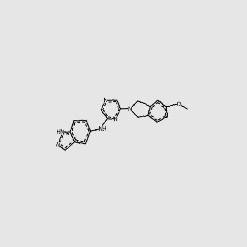 COc1ccc2c(c1)CN(c1cncc(Nc3ccc4[nH]ncc4c3)n1)C2